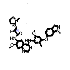 COc1cc2ncnc(Nc3cc(C)c(Oc4ccc5cnn(C)c5c4)cc3OC)c2cc1NC(=O)/C(F)=C/[C@H]1CCCN1C